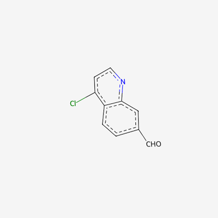 O=Cc1ccc2c(Cl)ccnc2c1